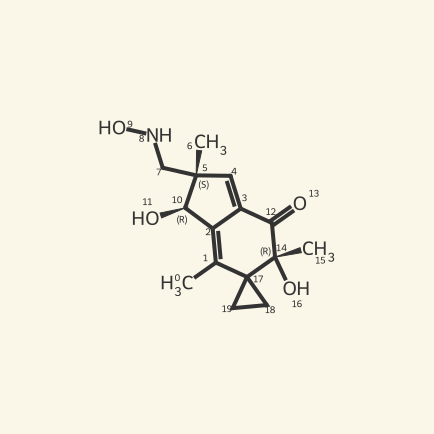 CC1=C2C(=C[C@@](C)(CNO)[C@@H]2O)C(=O)[C@](C)(O)C12CC2